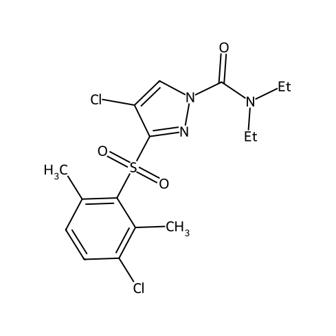 CCN(CC)C(=O)n1cc(Cl)c(S(=O)(=O)c2c(C)ccc(Cl)c2C)n1